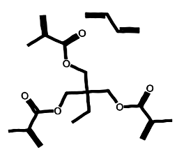 C=C(C)C(=O)OCC(CC)(COC(=O)C(=C)C)COC(=O)C(=C)C.C=CC=C